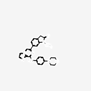 CN1C(=O)Cc2ccc(-c3cn4ccnc4c(Nc4ccc(N5CCOCC5)cc4)n3)cc21